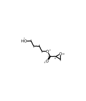 O=C(OCCCCO)C1CO1